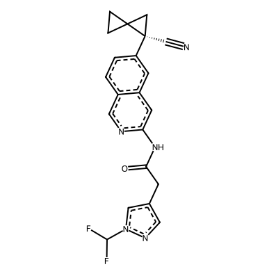 N#C[C@@]1(c2ccc3cnc(NC(=O)Cc4cnn(C(F)F)c4)cc3c2)CC12CC2